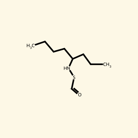 CCCCC(CCC)NS[C]=O